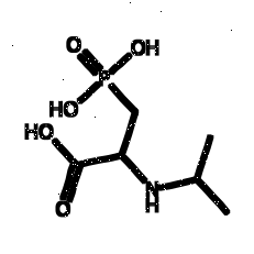 CC(C)NC(CP(=O)(O)O)C(=O)O